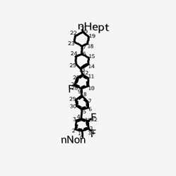 CCCCCCCCCc1ccc(-c2ccc(-c3ccc(C4=CCC(C5CCC(CCCCCCC)CC5)CC4)cc3F)cc2)c(F)c1F